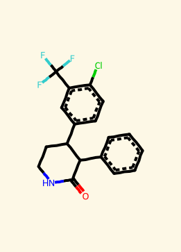 O=C1NCCC(c2ccc(Cl)c(C(F)(F)F)c2)C1c1ccccc1